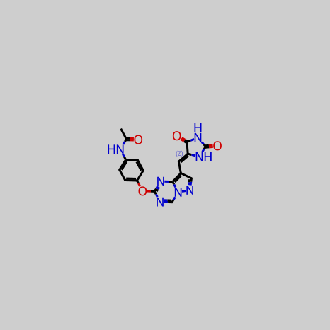 CC(=O)Nc1ccc(Oc2ncn3ncc(/C=C4\NC(=O)NC4=O)c3n2)cc1